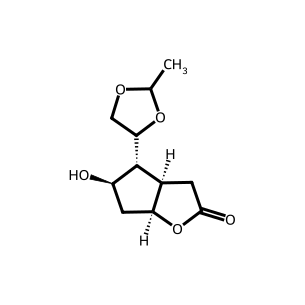 CC1OCC([C@@H]2[C@H]3CC(=O)O[C@H]3C[C@H]2O)O1